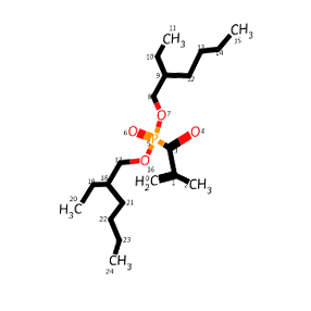 C=C(C)C(=O)P(=O)(OCC(CC)CCCC)OCC(CC)CCCC